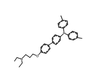 CCN(CC)CCCOc1ccc(-c2ccc(N(c3ccc(C)cc3)c3ccc(C)cc3)cc2)cc1